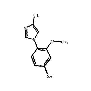 COc1cc(S)ccc1-n1cnc(C)c1